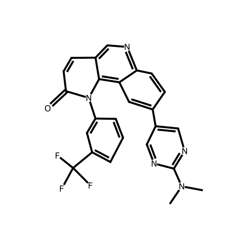 CN(C)c1ncc(-c2ccc3ncc4ccc(=O)n(-c5cccc(C(F)(F)F)c5)c4c3c2)cn1